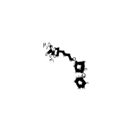 COC(=O)C1(C)OCC(CCCCOc2ccc(Oc3ccccc3)cc2)CO1